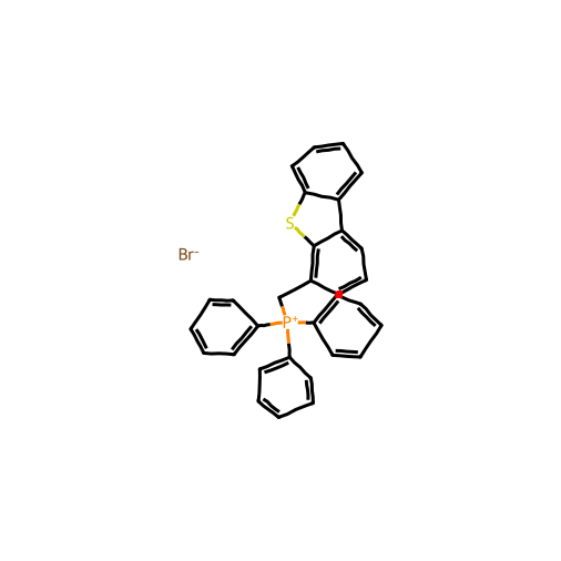 [Br-].c1ccc([P+](Cc2cccc3c2sc2ccccc23)(c2ccccc2)c2ccccc2)cc1